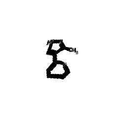 Cc1n[nH]cc1-c1ccccn1